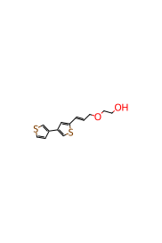 OCCOC/C=C/c1cc(-c2ccsc2)cs1